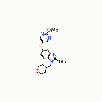 COc1ncc(Sc2ccc3c(c2)nc(C(C)(C)C)n3CC2CCOCC2)cn1